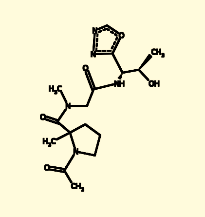 CC(=O)N1CCCC1(C)C(=O)N(C)CC(=O)N[C@H](c1nnco1)[C@@H](C)O